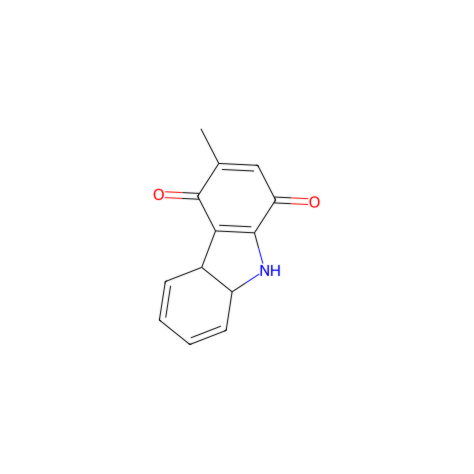 CC1=CC(=O)C2=C(C1=O)C1C=CC=CC1N2